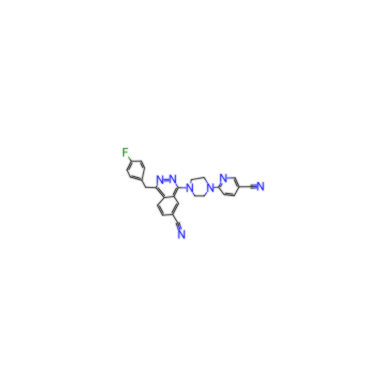 N#Cc1ccc(N2CCN(c3nnc(Cc4ccc(F)cc4)c4ccc(C#N)cc34)CC2)nc1